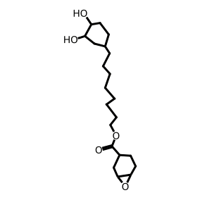 O=C(OCCCCCCCCC1CCC(O)C(O)C1)C1CCC2OC2C1